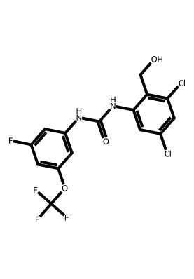 O=C(Nc1cc(F)cc(OC(F)(F)F)c1)Nc1cc(Cl)cc(Cl)c1CO